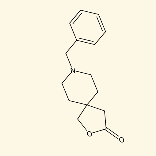 O=C1CC2(CCN(Cc3ccccc3)CC2)CO1